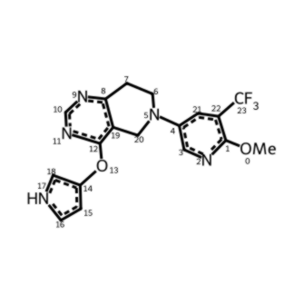 COc1ncc(N2CCc3ncnc(Oc4cc[nH]c4)c3C2)cc1C(F)(F)F